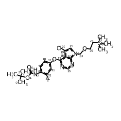 CC(C)(C)OC(=O)Nc1ccc(Oc2ncnc3c2c(Cl)cn3COCC[Si](C)(C)C)cc1F